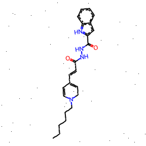 CCCCCCN1C=CC(C=CC(=O)NNC(=O)c2cc3ccccc3[nH]2)=CC1